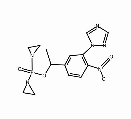 CC(OP(=O)(N1CC1)N1CC1)c1ccc([N+](=O)[O-])c(-n2cncn2)c1